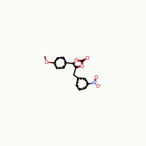 COc1ccc(-c2oc(=O)oc2Cc2[c]ccc([N+](=O)[O-])c2)cc1